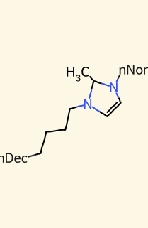 CCCCCCCCCCCCCCN1C=CN(CCCCCCCCC)C1C